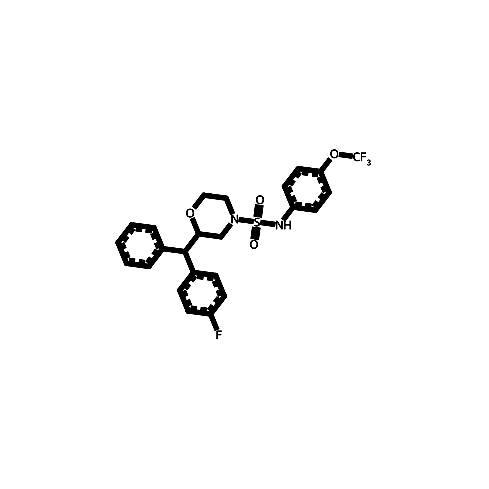 O=S(=O)(Nc1ccc(OC(F)(F)F)cc1)N1CCOC(C(c2ccccc2)c2ccc(F)cc2)C1